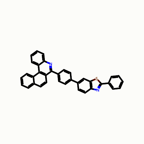 c1ccc(-c2nc3ccc(-c4ccc(-c5nc6ccccc6c6c5ccc5ccccc56)cc4)cc3s2)cc1